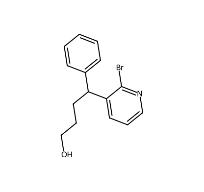 OCCCC(c1ccccc1)c1cccnc1Br